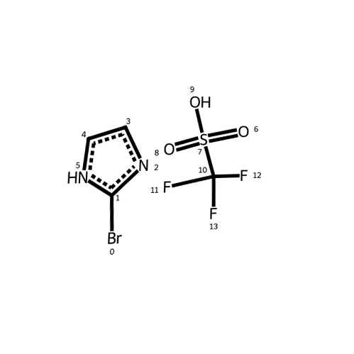 Brc1ncc[nH]1.O=S(=O)(O)C(F)(F)F